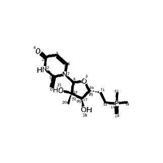 C=C1NC(=O)C=CN1C1O[C@H](CCP(=C)(C)C)[C@@H](O)[C@]1(C)O